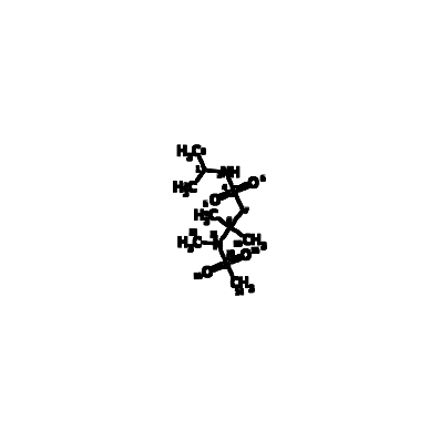 CC(C)NS(=O)(=O)CC(C)(C)N(C)S(C)(=O)=O